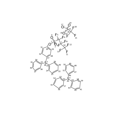 O=S(=O)([O-])C(F)(F)C(F)(F)C(F)(F)F.O=S(=O)([O-])C(F)(F)F.c1ccc([S+](c2ccccc2)c2ccccc2)cc1.c1ccc([S+](c2ccccc2)c2ccccc2)cc1